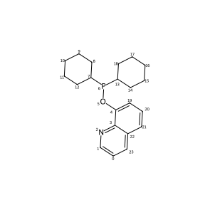 c1cnc2c(OP(C3CCCCC3)C3CCCCC3)cccc2c1